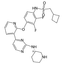 O=S(=O)(CC1CCC1)Nc1ccc(Oc2ncccc2-c2ccnc(N[C@H]3CCCNC3)n2)c(F)c1F